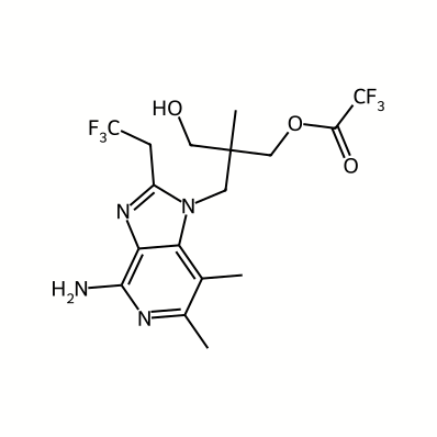 Cc1nc(N)c2nc(CC(F)(F)F)n(CC(C)(CO)COC(=O)C(F)(F)F)c2c1C